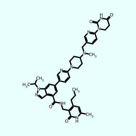 CCCc1cc(C)[nH]c(=O)c1CNC(=O)c1cc(-c2ccc(N3CCC(N(C)Cc4ccc(N5CCC(=O)NC5=O)nc4)CC3)nc2)cc2c1cnn2C(C)C